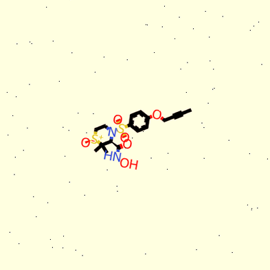 CC#CCOc1ccc(S(=O)(=O)N2CC[S@+]([O-])C(C)(C)[C@@H]2C(=O)NO)cc1